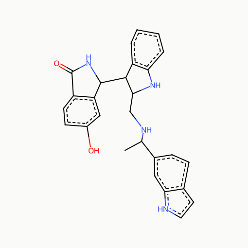 CC(NCC1Nc2ccccc2C1C1NC(=O)c2ccc(O)cc21)c1ccc2cc[nH]c2c1